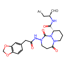 CC(=O)C[C@@H](C=O)NC(=O)[C@@H]1CCCN2C(=O)CCN(NC(=O)Cc3ccc4c(c3)OCO4)C(=O)N12